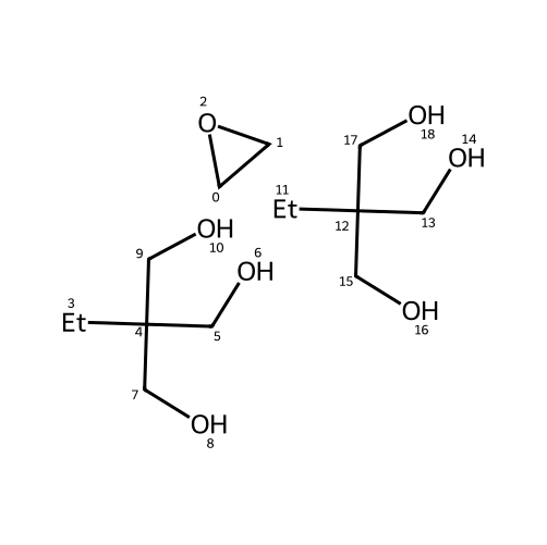 C1CO1.CCC(CO)(CO)CO.CCC(CO)(CO)CO